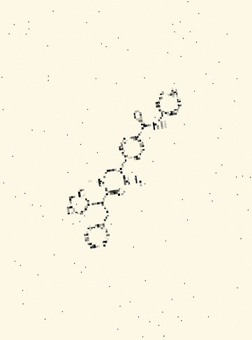 CN(CC(N)c1ccc(C(=O)Nc2ccncc2)cc1)C(=O)C(Cc1ccccc1)C1=COCO1